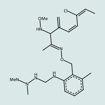 C=C(/C=C\C(Cl)=C/C)C(NOC)/C(C)=N/OCc1c(C)cccc1NCNN(C)NC